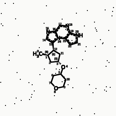 C[C@@H]1C[C@@H](OC2CCOCC2)C[C@@H]1c1cnc2cnc3[nH]ccc3n12